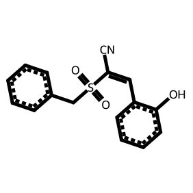 N#C/C(=C/c1ccccc1O)S(=O)(=O)Cc1ccccc1